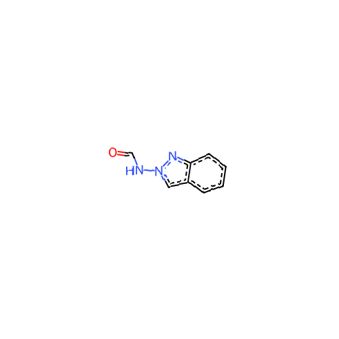 O=CNn1cc2ccccc2n1